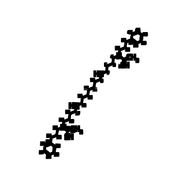 CC(S)N(CCCCNCCCCCCCNCCCCN(CCCc1ccccc1)C(C)S)CCCc1ccccc1